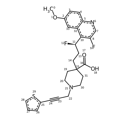 COc1ccc2ncc(F)c([C@H](F)CCC3(C(=O)O)CCN(CC#Cc4cccs4)CC3)c2c1